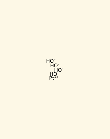 [OH-].[OH-].[OH-].[OH-].[Pt+4]